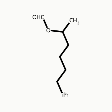 CC(C)CCCCC(C)OC=O